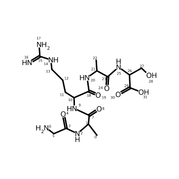 CC(NC(=O)CN)C(=O)NC(CCCNC(=N)N)C(=O)NC(C)C(=O)NC(CO)C(=O)O